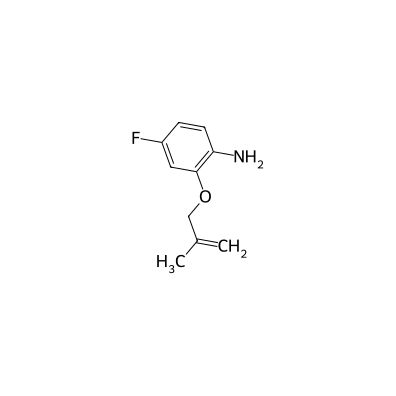 C=C(C)COc1cc(F)ccc1N